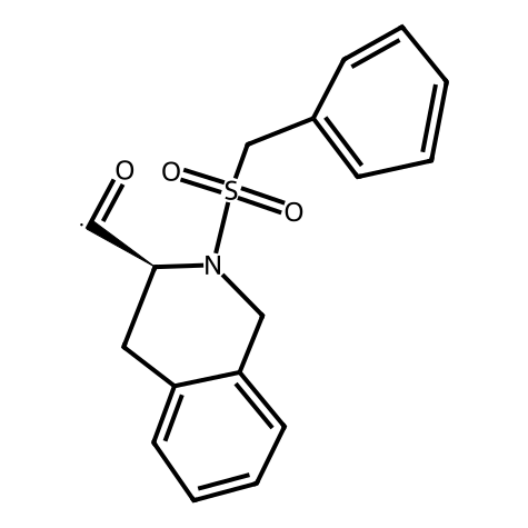 O=[C][C@@H]1Cc2ccccc2CN1S(=O)(=O)Cc1ccccc1